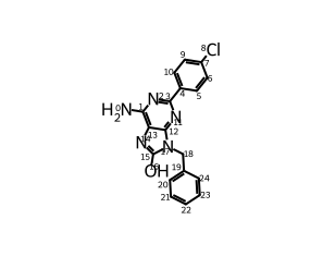 Nc1nc(-c2ccc(Cl)cc2)nc2c1nc(O)n2Cc1ccccc1